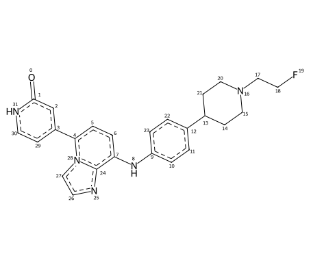 O=c1cc(-c2ccc(Nc3ccc(C4CCN(CCF)CC4)cc3)c3nccn23)cc[nH]1